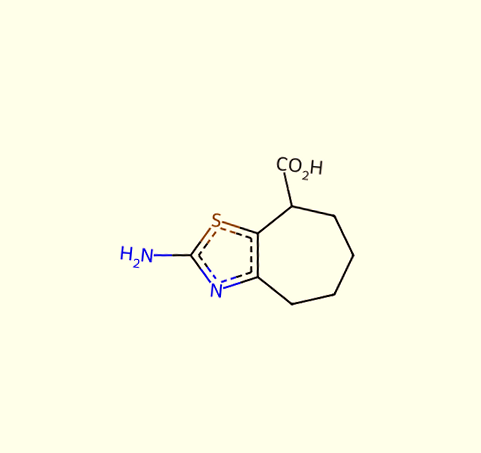 Nc1nc2c(s1)C(C(=O)O)CCCC2